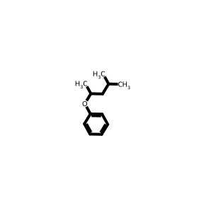 CC(C)CC(C)Oc1ccccc1